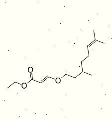 CCOC(=O)C=COCCC(C)CCC=C(C)C